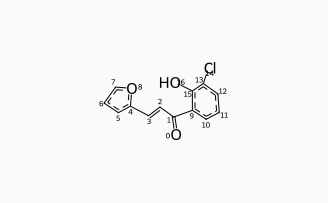 O=C(/C=C/c1ccco1)c1cccc(Cl)c1O